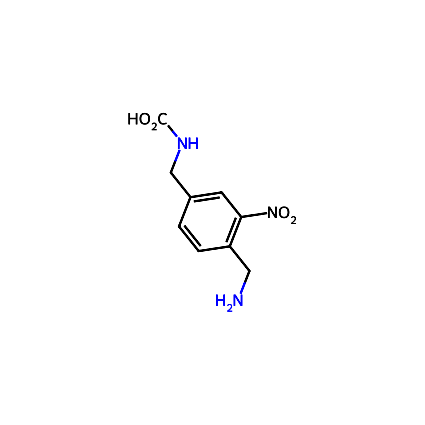 NCc1ccc(CNC(=O)O)cc1[N+](=O)[O-]